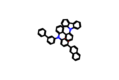 c1ccc(-c2cccc(N(c3ccc(-c4ccc5ccccc5c4)cc3)c3ccccc3-c3ccccc3-n3c4ccccc4c4ccccc43)c2)cc1